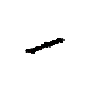 CC(C)(C)OC(=O)COCCOCCOCCOCCNC(=O)COCCOCCOCCOCCN=[N+]=[N-]